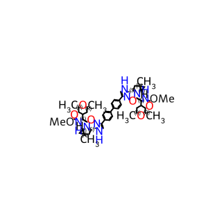 COC(=O)N[C@H](C(=O)N1[C@H](c2nc(-c3ccc(-c4ccc(-c5c[nH]c([C@@H]6C[C@@]7(C)C[C@H]7N6C(=O)[C@@H](NC(=O)OC)C6C[C@@H](C)O[C@H](C)C6)n5)cc4)cc3)c[nH]2)C[C@@]2(C)C[C@@H]12)C1C[C@@H](C)O[C@H](C)C1